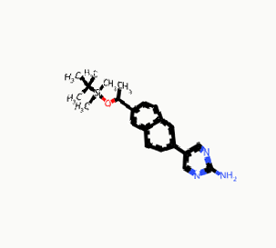 CC(O[Si](C)(C)C(C)(C)C)c1ccc2cc(-c3cnc(N)nc3)ccc2c1